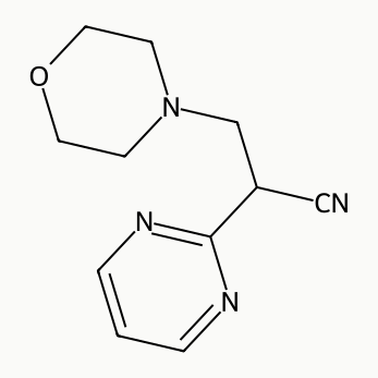 N#CC(CN1CCOCC1)c1ncccn1